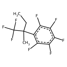 CCC(C)(c1c(F)c(F)c(F)c(F)c1F)C(F)(F)F